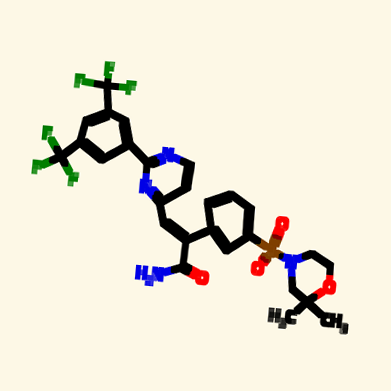 CC1(C)CN(S(=O)(=O)c2cccc(/C(=C\c3ccnc(-c4cc(C(F)(F)F)cc(C(F)(F)F)c4)n3)C(N)=O)c2)CCO1